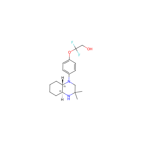 CC1(C)CN(c2ccc(OC(F)(F)CO)cc2)[C@H]2CCCC[C@@H]2N1